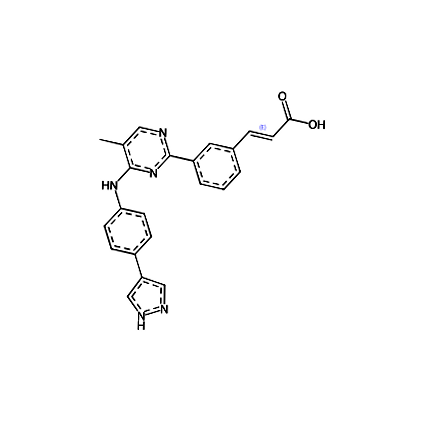 Cc1cnc(-c2cccc(/C=C/C(=O)O)c2)nc1Nc1ccc(-c2cn[nH]c2)cc1